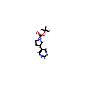 CC(C)(C)OC(=O)N1CCC(c2cncnc2)C1